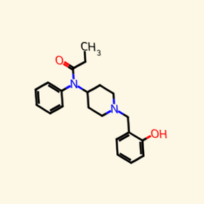 CCC(=O)N(c1ccccc1)C1CCN(Cc2ccccc2O)CC1